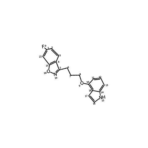 Fc1ccc2c(CCCOc3cccc4[nH]ccc34)noc2c1